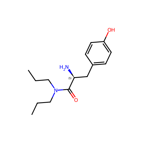 CCCN(CCC)C(=O)[C@@H](N)Cc1ccc(O)cc1